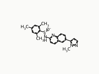 Cc1cc(C)c([S+]([O-])Nc2ccc3cc(-c4ccnn4C)ccc3n2)c(C)c1